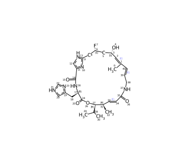 CC1=C\[C@@H](O)C[C@@H](F)Cc2nc(c[nH]2)C(=O)N[C@H](Cc2c[nH]cn2)C(=O)O[C@H](C(C)C)[C@H](C)/C=C/C(=O)NC\C=C\1